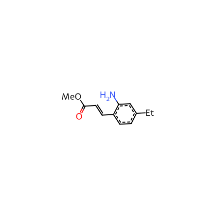 CCc1ccc(C=CC(=O)OC)c(N)c1